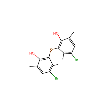 Cc1cc(Br)c(C)c(Sc2c(C)c(Br)cc(C)c2O)c1O